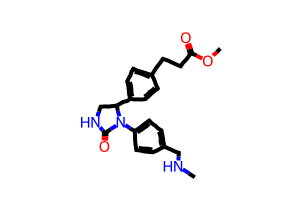 CNCc1ccc(N2C(=O)NCC2c2ccc(CCC(=O)OC)cc2)cc1